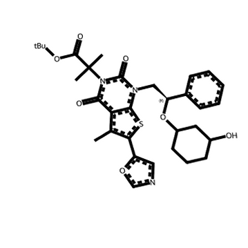 Cc1c(-c2cnco2)sc2c1c(=O)n(C(C)(C)C(=O)OC(C)(C)C)c(=O)n2C[C@H](OC1CCCC(O)C1)c1ccccc1